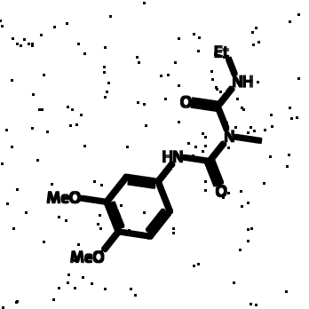 CCNC(=O)N(C)C(=O)Nc1ccc(OC)c(OC)c1